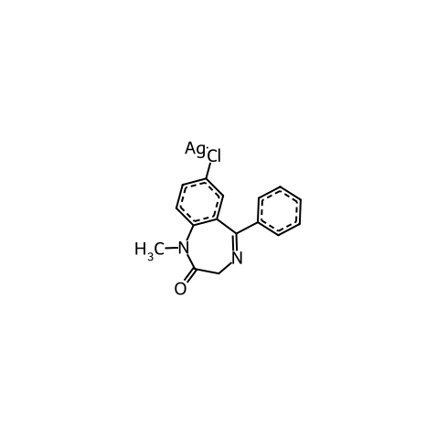 CN1C(=O)CN=C(c2ccccc2)c2cc(Cl)ccc21.[Ag]